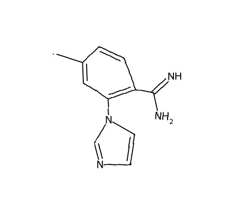 [CH2]c1ccc(C(=N)N)c(-n2ccnc2)c1